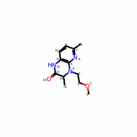 COCCN1c2nc(C)ccc2NC(=O)C1C